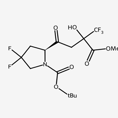 COC(=O)C(O)(CC(=O)[C@@H]1CC(F)(F)CN1C(=O)OC(C)(C)C)C(F)(F)F